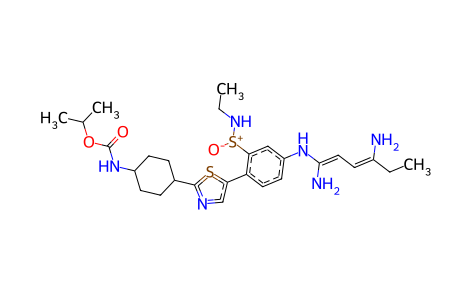 CCN[S+]([O-])c1cc(N/C(N)=C/C=C(\N)CC)ccc1-c1cnc(C2CCC(NC(=O)OC(C)C)CC2)s1